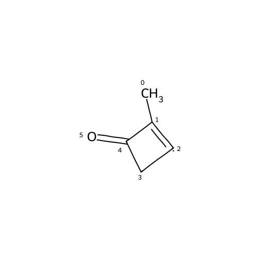 CC1=[C]CC1=O